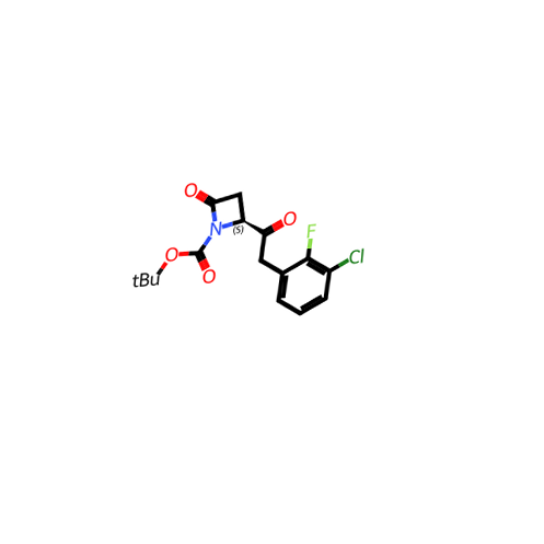 CC(C)(C)OC(=O)N1C(=O)C[C@H]1C(=O)Cc1cccc(Cl)c1F